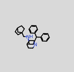 c1ccc(C(c2ccccc2)C2C(NCC34CCC(CC3)C4)C3CCN2CC3)cc1